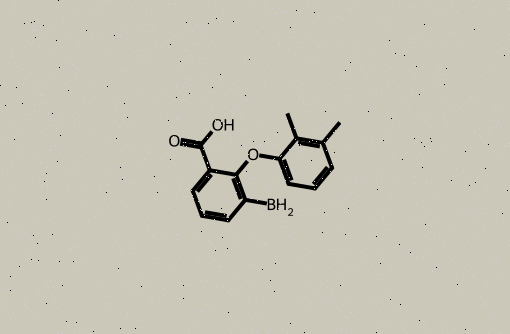 Bc1cccc(C(=O)O)c1Oc1cccc(C)c1C